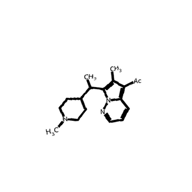 CC(=O)c1c(C)c(C(C)C2CCN(C)CC2)n2ncccc12